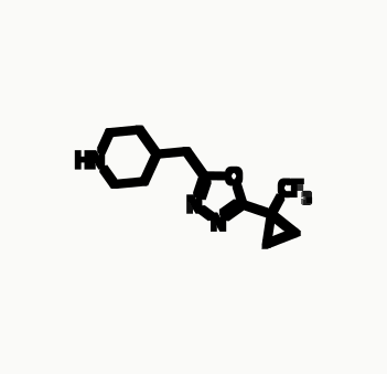 FC(F)(F)C1(c2nnc(CC3CCNCC3)o2)CC1